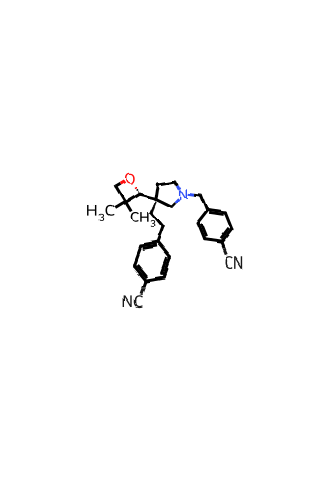 CC1(C)CO[C@@H]1[C@]1(CCc2ccc(C#N)cc2)CCN(Cc2ccc(C#N)cc2)C1